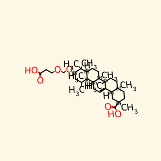 CC1C[C@H](OCOCCC(=O)O)C(C)(C)[C@@H]2CC[C@]3(C)[C@H](CC=C4[C@@H]5C[C@@](C)(C(=O)O)CC[C@]5(C)CC[C@]43C)[C@@]12C